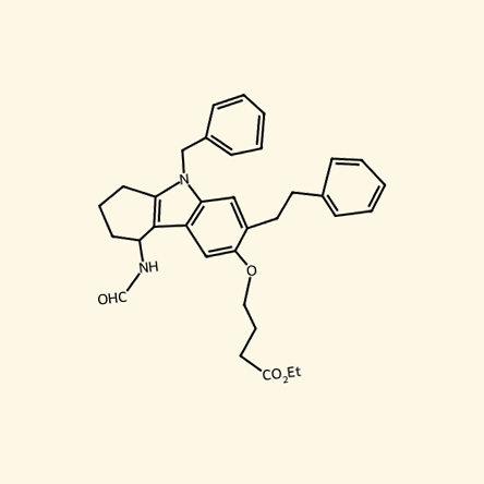 CCOC(=O)CCCOc1cc2c3c(n(Cc4ccccc4)c2cc1CCc1ccccc1)CCCC3NC=O